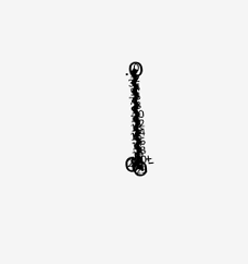 O=[C]CCCC=CCC=CCC=CCC=CCCCCC[N+](=O)[O-]